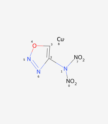 O=[N+]([O-])N(c1conn1)[N+](=O)[O-].[Cu]